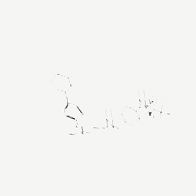 CCN(CCCNCC1CCC(NS(=O)(=O)C(C)(C)C)CC1)c1ccc(C2CCCCC2)cc1